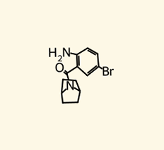 Nc1ccc(Br)cc1C(=O)N1C2CCC1CC2